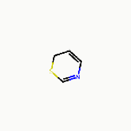 [C]1=CN=CSC1